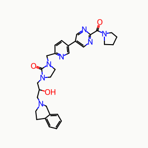 O=C(c1ncc(-c2ccc(CN3CCN(CC(O)CN4CCc5ccccc5C4)C3=O)nc2)cn1)N1CCCC1